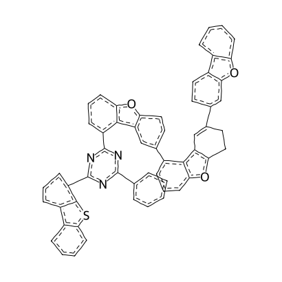 C1=C(c2ccc3c(c2)oc2ccccc23)CCc2oc3cccc(-c4ccc5oc6cccc(-c7nc(-c8ccccc8)nc(-c8cccc9c8sc8ccccc89)n7)c6c5c4)c3c21